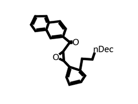 CCCCCCCCCCCCc1ccccc1C1OC1C(=O)c1ccc2ccccc2c1